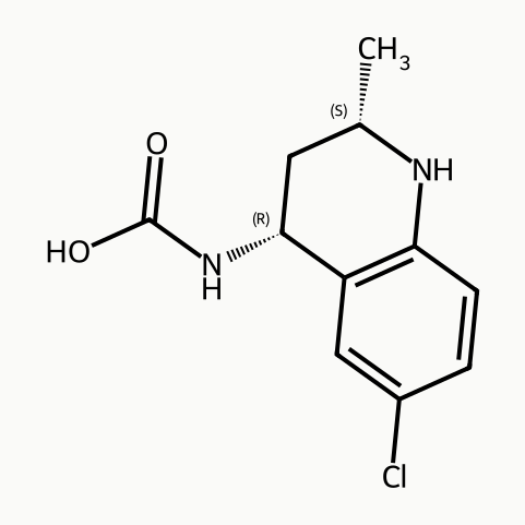 C[C@H]1C[C@@H](NC(=O)O)c2cc(Cl)ccc2N1